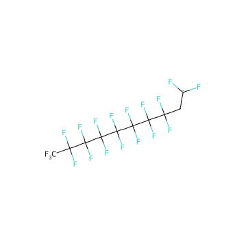 F[C](F)CC(F)(F)C(F)(F)C(F)(F)C(F)(F)C(F)(F)C(F)(F)C(F)(F)C(F)(F)F